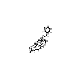 C[C@]12CCC(=O)CC1CC[C@@H]1[C@H]2CC[C@]2(C)C(CCc3cccnc3)=CC[C@@H]12